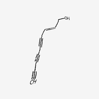 C#CC#CC#C/C=C/CO